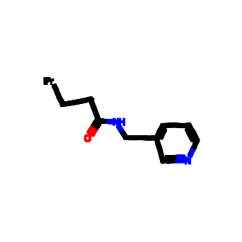 CC(C)C[CH]C(=O)NCc1cccnc1